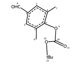 Cc1cc(C=O)cc(C)c1OC(=O)OC(C)(C)C